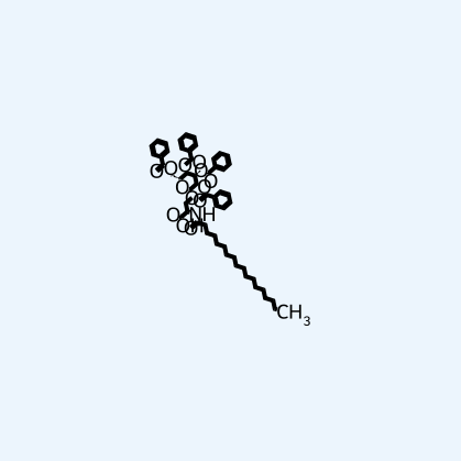 CCCCCCCCCCCCCCCCCC(=O)NC(CO[C@@H]1O[C@H](COC(=O)c2ccccc2)[C@H](OC(=O)c2ccccc2)[C@H](OC(=O)c2ccccc2)[C@H]1OC(=O)c1ccccc1)C(=O)O